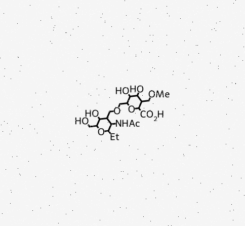 CCC1OC(CO)C(O)C(COCC2OC(C(=O)O)C(COC)C(O)C2O)C1NC(C)=O